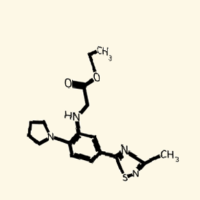 CCOC(=O)CNc1cc(-c2nc(C)ns2)ccc1N1CCCC1